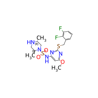 COc1cc(NS(=O)(=O)N2C[C@@H](C)NC[C@@H]2C)nc(SCc2cccc(F)c2F)n1